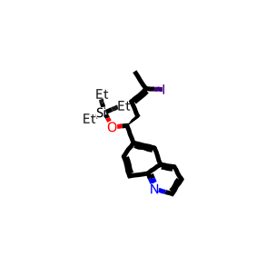 CC[Si](CC)(CC)O[C@@H](CC=C(C)I)c1ccc2ncccc2c1